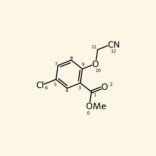 COC(=O)c1cc(Cl)ccc1OCC#N